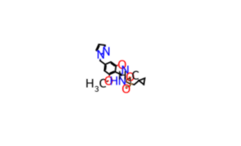 COc1cc(Cn2cccn2)cc2onc(NS(=O)(=O)CC3(C)CC3)c12